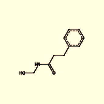 O=C(CCc1ccccc1)NCO